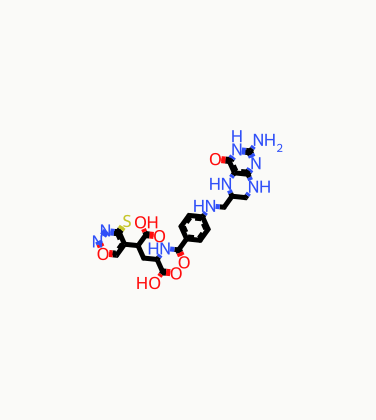 Nc1nc2c(c(=O)[nH]1)NC(CNc1ccc(C(=O)NC(CC(C(=O)O)c3connc3=S)C(=O)O)cc1)CN2